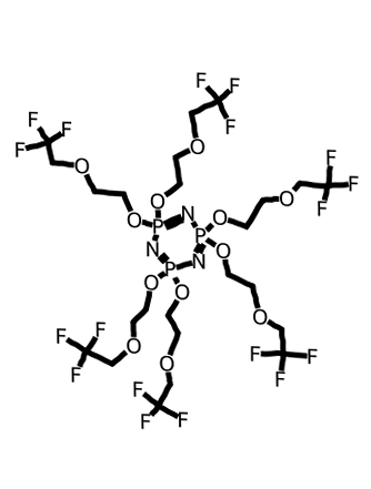 FC(F)(F)COCCOP1(OCCOCC(F)(F)F)=NP(OCCOCC(F)(F)F)(OCCOCC(F)(F)F)=NP(OCCOCC(F)(F)F)(OCCOCC(F)(F)F)=N1